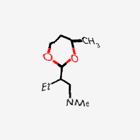 CCC(CNC)C1OCCC(C)O1